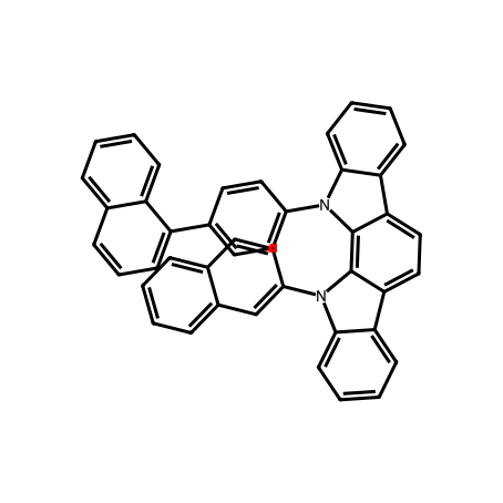 c1ccc2cc(-n3c4ccccc4c4ccc5c6ccccc6n(-c6ccc(-c7cccc8ccccc78)cc6)c5c43)ccc2c1